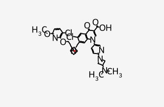 COc1ccc(Cl)c(OCC2C3CC(C3)N2c2cc3c(cc2Cl)c(=O)c(C(=O)O)cn3-c2ccc(N3CC(N(C)C)C3)nc2)n1